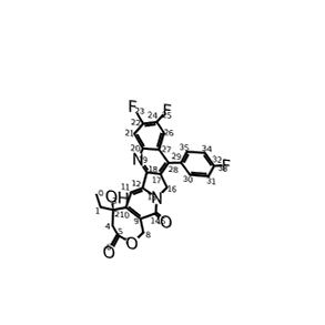 CC[C@@]1(O)CC(=O)OCc2c1cc1n(c2=O)Cc2c-1nc1cc(F)c(F)cc1c2-c1ccc(F)cc1